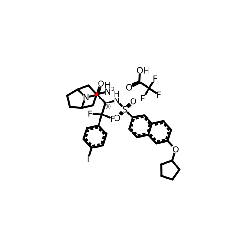 NC1CC2CCC(C1)N2C(=O)[C@@H](NS(=O)(=O)c1ccc2cc(OC3CCCC3)ccc2c1)C(F)(F)c1ccc(I)cc1.O=C(O)C(F)(F)F